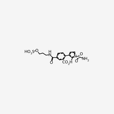 NS(=O)(=O)n1ccc(-c2ccc(C(=O)NCCCOS(=O)(=O)O)cc2)c1C(=O)O